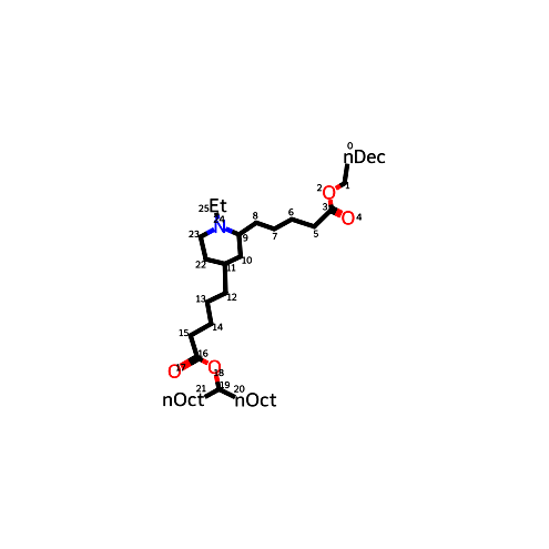 CCCCCCCCCCCOC(=O)CCCCC1CC(CCCCC(=O)OC(CCCCCCCC)CCCCCCCC)CCN1CC